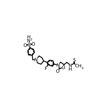 CC(=S)NCC1CN(c2ccc(C3CCN(Cc4ccc(S(N)(=O)=O)cc4)CC3)c(F)c2)C(=O)O1